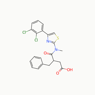 CN(C(=O)C(CC(=O)O)Cc1ccccc1)c1nc(-c2cccc(Cl)c2Cl)cs1